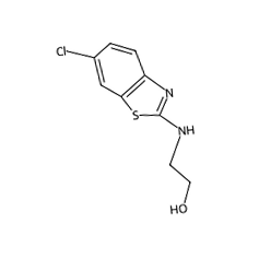 OCCNc1nc2ccc(Cl)cc2s1